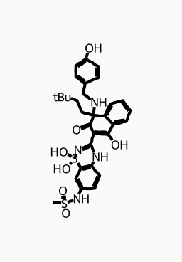 CC(C)(C)CCC1(NCc2ccc(O)cc2)C(=O)C(C2=NS(O)(O)c3cc(NS(C)(=O)=O)ccc3N2)=C(O)c2ccccc21